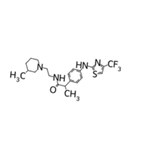 CC1CCCN(CCNC(=O)C(C)c2ccc(Nc3nc(C(F)(F)F)cs3)cc2)C1